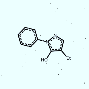 CCc1cnn(-c2ccccc2)c1O